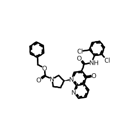 O=C(Nc1c(Cl)cccc1Cl)c1cn([C@H]2CCN(C(=O)OCc3ccccc3)C2)c2ncccc2c1=O